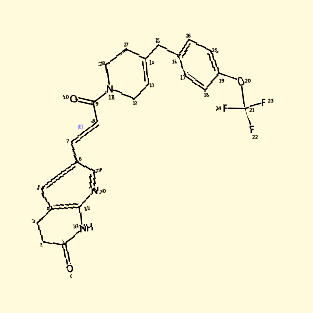 O=C1CCc2cc(/C=C/C(=O)N3CC=C(Cc4ccc(OC(F)(F)F)cc4)CC3)cnc2N1